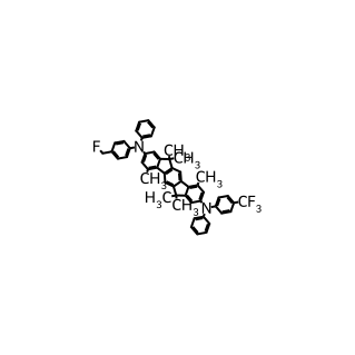 Cc1cc(N(c2ccccc2)c2ccc(CF)cc2)cc2c1-c1cc3c(cc1C2(C)C)-c1c(C)cc(N(c2ccccc2)c2ccc(C(F)(F)F)cc2)cc1C3(C)C